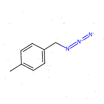 Cc1ccc(CN=[N+]=[N-])cc1